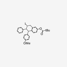 COc1ccc(C2c3ccc(OC(=O)C(C)(C)C)cc3CC(I)C2c2ccccc2)cc1